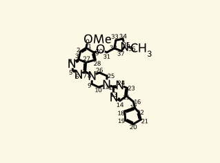 COc1cc2ncnc(N3CCN(c4ncc(Cc5ccccc5)cn4)CC3)c2cc1OCC1CCN(C)C1